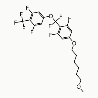 COCCCCCCOc1cc(F)c(C(F)(F)Oc2cc(F)c(C(F)(F)F)c(F)c2)c(F)c1